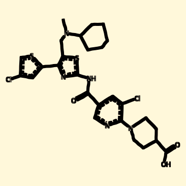 CN(Cc1sc(NC(=O)c2cnc(N3CCC(C(=O)O)CC3)c(Cl)c2)nc1-c1cc(Cl)cs1)C1CCCCC1